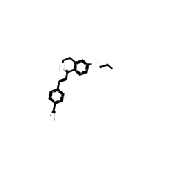 CCCOc1ccc2c(c1)CCN=C2C=Cc1ccc(C#N)cc1